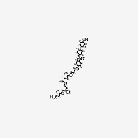 C=CC(=O)OCC(CC)CCOC(=O)CCC(=O)OCCCOc1ccc(C(=O)Oc2ccc(-c3ccc(C#N)cc3)cc2)cc1